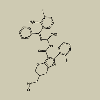 CCNCC1COc2c(C(=O)N[C@H](C=O)/N=C(/c3ccccc3)c3cccc(F)c3N)c(-c3ccccc3F)nn2C1